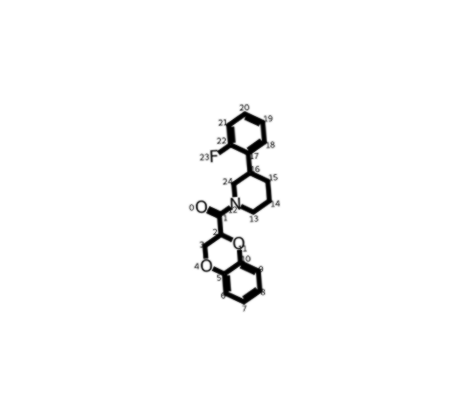 O=C(C1COc2ccccc2O1)N1CCCC(c2ccccc2F)C1